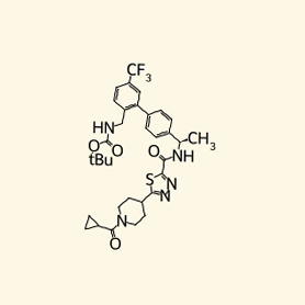 C[C@@H](NC(=O)c1nnc(C2CCN(C(=O)C3CC3)CC2)s1)c1ccc(-c2cc(C(F)(F)F)ccc2CNC(=O)OC(C)(C)C)cc1